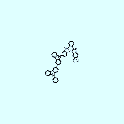 N#Cc1ccc2sc3c4ccccc4c4nc5cc(-n6c7ccccc7c7cc(-c8ccc9c(c8)c8ccccc8n9-c8ccccc8)ccc76)ccc5n4c3c2c1